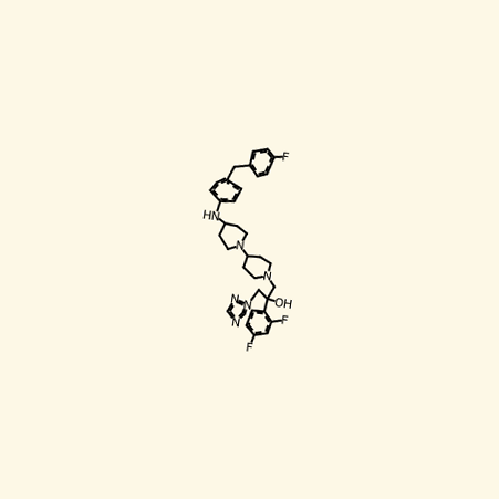 OC(CN1CCC(N2CCC(Nc3ccc(Cc4ccc(F)cc4)cc3)CC2)CC1)(Cn1cncn1)c1ccc(F)cc1F